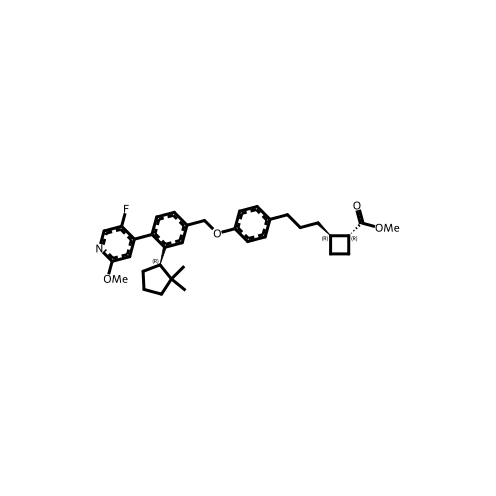 COC(=O)[C@@H]1CC[C@H]1CCCc1ccc(OCc2ccc(-c3cc(OC)ncc3F)c([C@@H]3CCCC3(C)C)c2)cc1